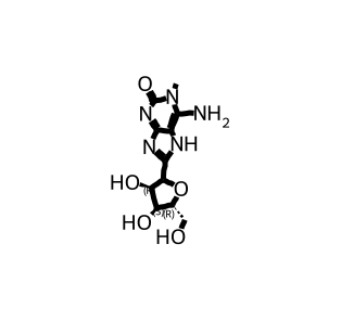 Cn1c(N)c2[nH]c(C3O[C@H](CO)[C@@H](O)[C@H]3O)nc2nc1=O